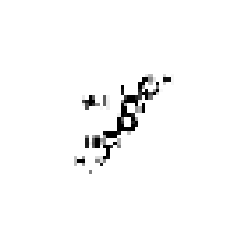 Cl.Cl.NCc1nc(-c2ccc3nc(N4CCNCC4)c(Cl)cc3c2)c[nH]1